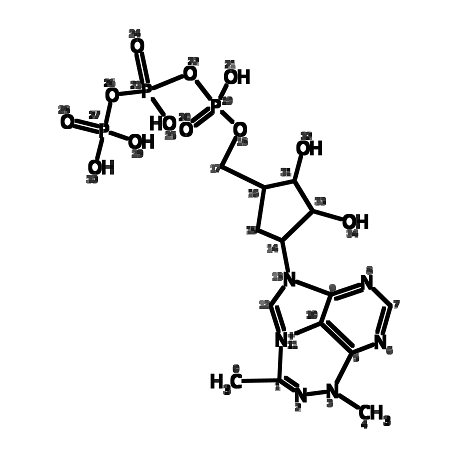 CC1=NN(C)c2ncnc3c2[n+]1cn3C1CC(COP(=O)(O)OP(=O)(O)OP(=O)(O)O)C(O)C1O